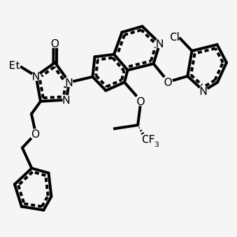 CCn1c(COCc2ccccc2)nn(-c2cc(O[C@@H](C)C(F)(F)F)c3c(Oc4ncccc4Cl)nccc3c2)c1=O